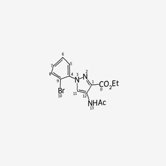 CCOC(=O)c1nn(-c2ccccc2Br)cc1NC(C)=O